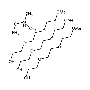 BO[SiH](C)C.COCCOCCOCCO.COCCOCCOCCO.COCCOCCOCCO